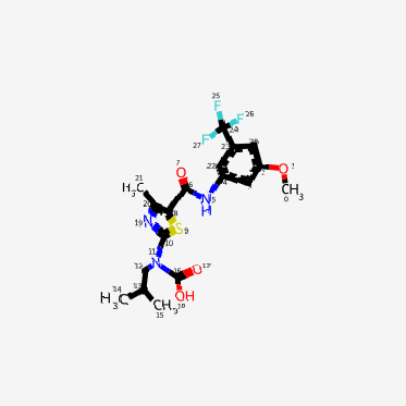 COc1cc(NC(=O)c2sc(N(CC(C)C)C(=O)O)nc2C)cc(C(F)(F)F)c1